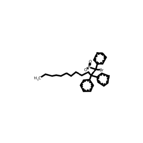 CCCCCCCCCCC(c1ccccc1)(c1ccccc1)C(Br)(c1ccccc1)P(=O)=O